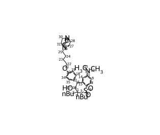 CCCCC1(CCCC)CS(=O)(=O)c2ccc(N(C)C)cc2[C@@H](c2ccc(OCCCC[N+]34CCN(CC3)CC4)cc2)[C@H]1O